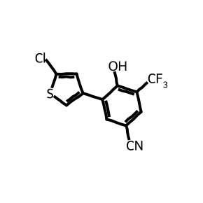 N#Cc1cc(-c2csc(Cl)c2)c(O)c(C(F)(F)F)c1